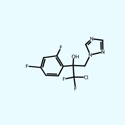 OC(Cn1cncn1)(c1ccc(F)cc1F)C(F)(F)Cl